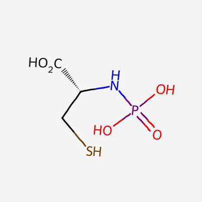 O=C(O)[C@@H](CS)NP(=O)(O)O